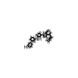 c1cc(Nc2cc(-c3nc(N4CCCC4)c4c(C5CC5)cncc4n3)ccn2)cc(N2CCNCC2)c1